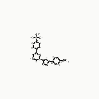 CC(C)S(=O)(=O)c1ccc(-c2cncc(-c3cc(-c4ccc([N+](=O)[O-])cc4)no3)n2)cc1